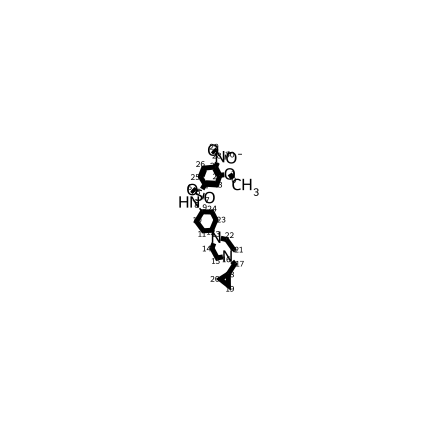 COc1cc(S(=O)(=O)N[C@H]2CC[C@H](N3CCN(CC4CC4)CC3)CC2)ccc1[N+](=O)[O-]